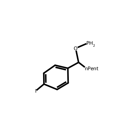 CCCCCC(OP)c1ccc(I)cc1